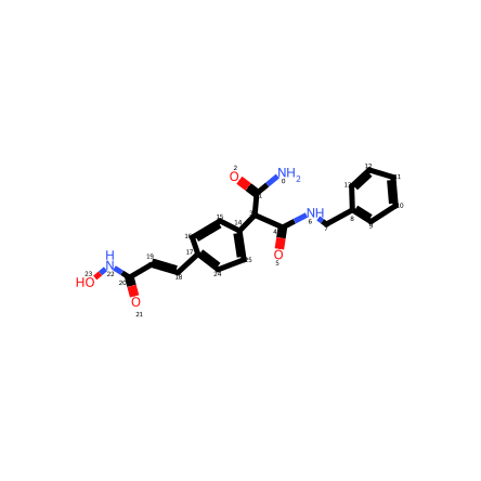 NC(=O)C(C(=O)NCc1ccccc1)c1ccc(C=CC(=O)NO)cc1